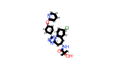 CC(C)(O)C(=O)N[C@H]1Cc2cc(Cl)ccc2-n2c(nnc2[C@H]2CC[C@H](Oc3ccccn3)CC2)C1